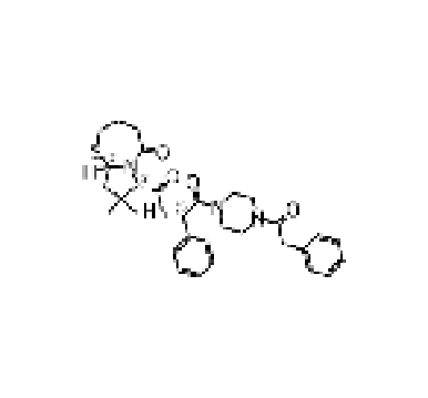 CC1(C)C[C@@H]2SCCCC(=O)N2[C@@H]1C(=O)N[C@H](C(=O)N1CCN(C(=O)Cc2ccccc2)CC1)c1ccccc1